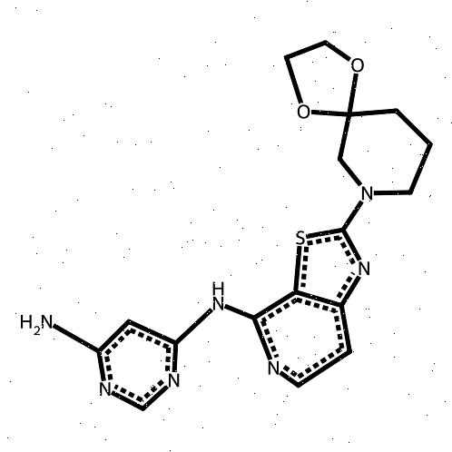 Nc1cc(Nc2nccc3nc(N4CCCC5(C4)OCCO5)sc23)ncn1